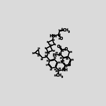 C=CC(=O)NC1CC2(C1)CN(C(CC1CC1)c1ccc([C@H](C)Nc3ncc4c(n3)N(CC)C(=O)OC4)cc1)C2